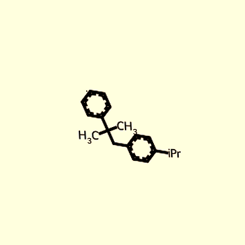 CC(C)c1ccc(CC(C)(C)c2cc[c]cc2)cc1